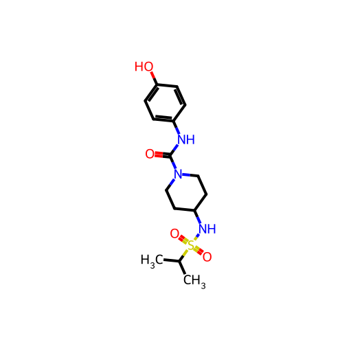 CC(C)S(=O)(=O)NC1CCN(C(=O)Nc2ccc(O)cc2)CC1